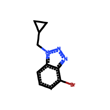 Brc1[c]ccc2c1nnn2CC1CC1